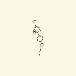 CCCCOc1ccc(-c2ncc(C3CC3)cn2)cc1